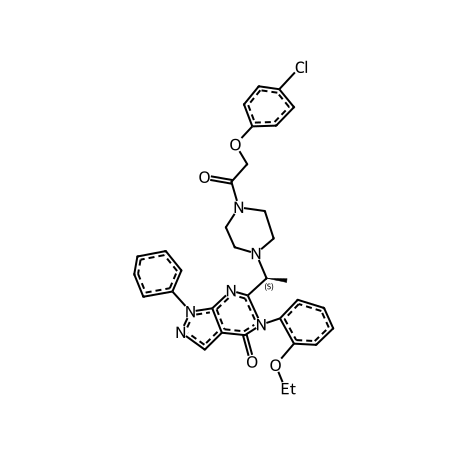 CCOc1ccccc1-n1c([C@H](C)N2CCN(C(=O)COc3ccc(Cl)cc3)CC2)nc2c(cnn2-c2ccccc2)c1=O